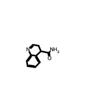 NC(=O)C1CC=Nc2ccccc21